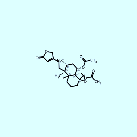 CC(=O)OC[C@@]12[C@@H](OC(C)=O)C[C@@H](C)[C@](C)(CCC3=CC(=O)OC3)[C@H]1CCC[C@]21CO1